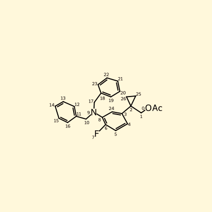 CC(=O)OCC1(c2ccc(F)c(N(Cc3ccccc3)Cc3ccccc3)c2)CC1